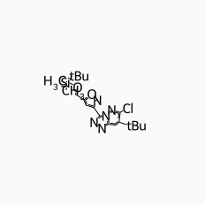 CC(C)(C)c1cc2nnc(-c3cc(CO[Si](C)(C)C(C)(C)C)on3)n2nc1Cl